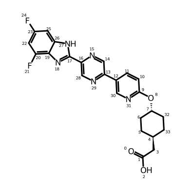 O=C(O)C[C@H]1CC[C@H](Oc2ccc(-c3cnc(-c4nc5c(F)cc(F)cc5[nH]4)cn3)cn2)CC1